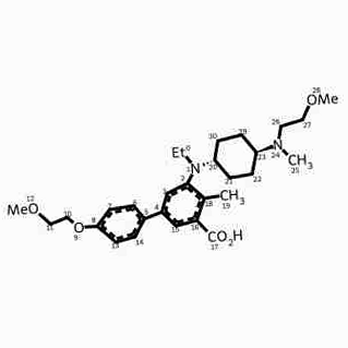 CCN(c1cc(-c2ccc(OCCOC)cc2)cc(C(=O)O)c1C)[C@H]1CC[C@H](N(C)CCOC)CC1